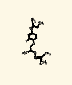 CCC(C)Oc1ccc(OCC(C)ON=C(C)C)c(F)c1